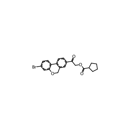 O=C(COC(=O)C1CCCC1)c1ccc2c(c1)COc1cc(Br)ccc1-2